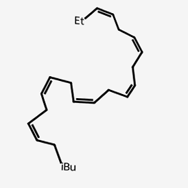 CC/C=C\C/C=C\C/C=C\C/C=C\C/C=C\C/C=C\CC(C)CC